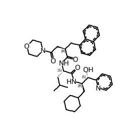 CC(C)C[C@H](NC(=O)[C@@H](CC(=O)N1CCOCC1)Cc1cccc2ccccc12)C(=O)N[C@H](CC1CCCCC1)[C@H](O)c1ccccn1